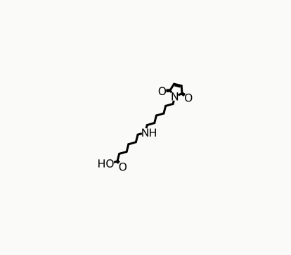 O=C(O)CCCCCNCCCCCCN1C(=O)C=CC1=O